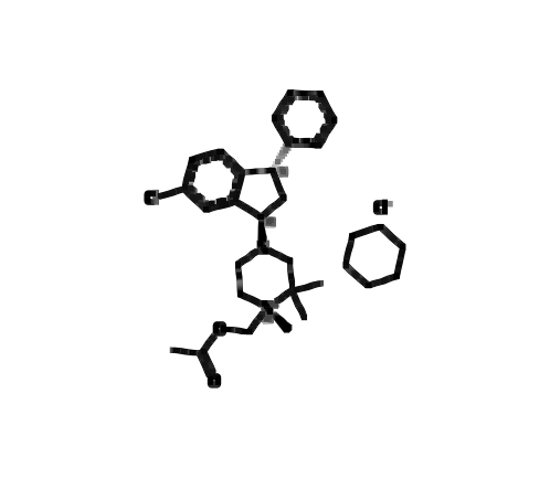 C1CCCCC1.CC(=O)OC[N@+]1(C)CCN([C@@H]2C[C@@H](c3ccccc3)c3ccc(Cl)cc32)CC1(C)C.[Cl-]